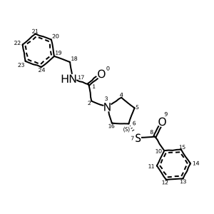 O=C(CN1CC[C@H](SC(=O)c2ccccc2)C1)NCc1ccccc1